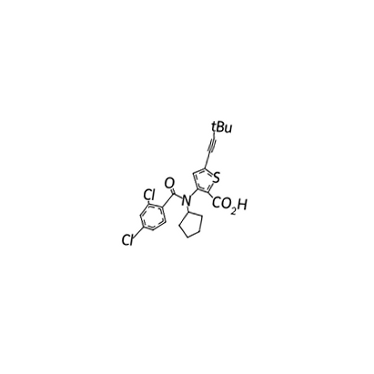 CC(C)(C)C#Cc1cc(N(C(=O)c2ccc(Cl)cc2Cl)C2CCCC2)c(C(=O)O)s1